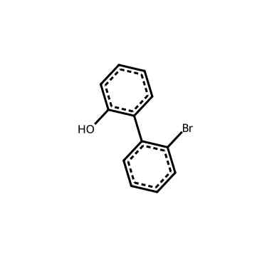 Oc1ccccc1-c1ccccc1Br